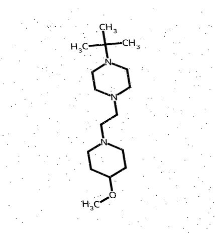 COC1CCN(CCN2CCN(C(C)(C)C)CC2)CC1